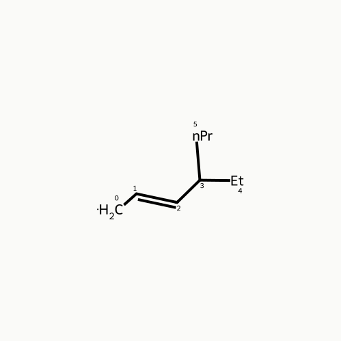 [CH2]C=CC(C[CH2])CCC